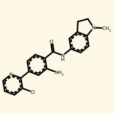 CN1CCc2cc(NC(=O)c3ccc(-c4ncccc4Cl)cc3N)ccc21